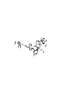 CC(=O)[C@H]1CCC2C3C[C@H](OC(=O)CCCCC(=O)O)C4=CC(=O)CC[C@]4(C)C3CC[C@@]21C